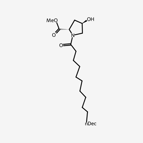 CCCCCCCCCCCCCCCCCCCC(=O)N1C[C@H](O)C[C@H]1C(=O)OC